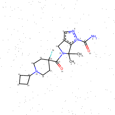 CC1(C)c2c([c]nn2C(N)=O)CN1C(=O)C1(F)CCN(C2CCC2)CC1